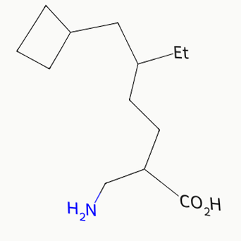 CCC(CCC(CN)C(=O)O)CC1CCC1